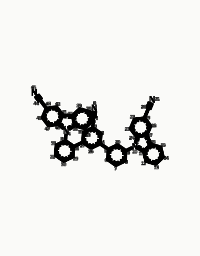 N#Cc1cc(-c2cccc(-n3c4ccccc4c4cc(C#N)ccc43)c2)cc(-c2ccccc2-n2c3ccccc3c3cc(C#N)ccc32)c1